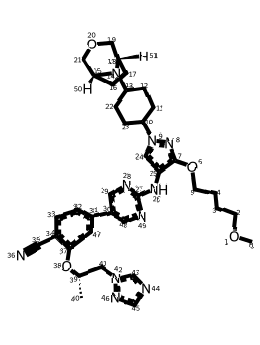 COCCCCOc1nn(C2CCC(N3[C@@H]4CC[C@H]3COC4)CC2)cc1Nc1ncc(-c2ccc(C#N)c(O[C@@H](C)Cn3cncn3)c2)cn1